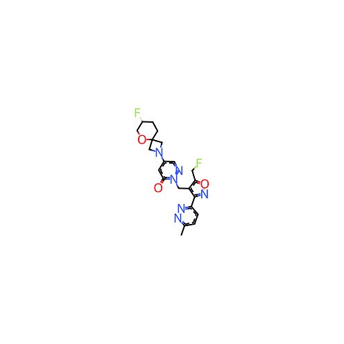 Cc1ccc(-c2noc(CF)c2Cn2ncc(N3CC4(CC[C@@H](F)CO4)C3)cc2=O)nn1